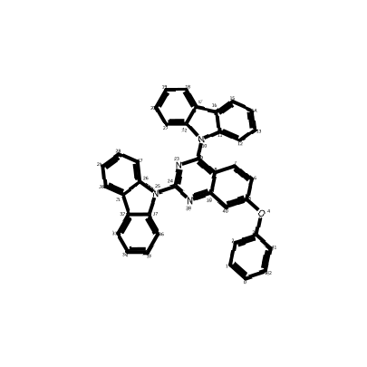 c1ccc(Oc2ccc3c(-n4c5ccccc5c5ccccc54)nc(-n4c5ccccc5c5ccccc54)nc3c2)cc1